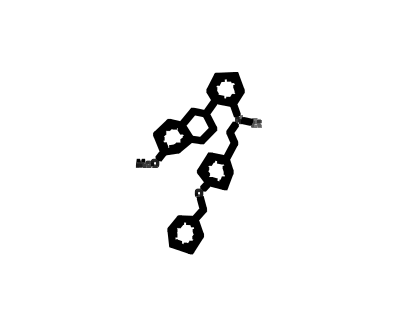 CCN(CCc1ccc(OCc2ccccc2)cc1)c1ccccc1C1CCc2cc(OC)ccc2C1